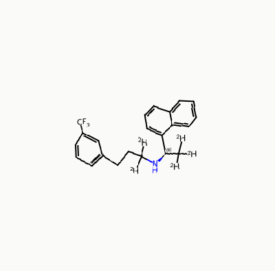 [2H]C([2H])(CCc1cccc(C(F)(F)F)c1)N[C@@H](c1cccc2ccccc12)C([2H])([2H])[2H]